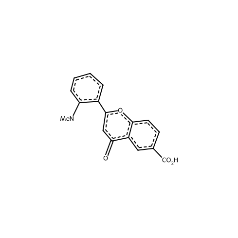 CNc1ccccc1-c1cc(=O)c2cc(C(=O)O)ccc2o1